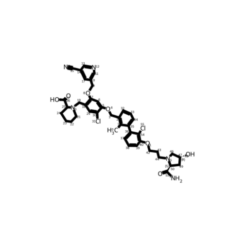 Cc1c(COc2cc(OCc3cncc(C#N)c3)c(CN3CCCCC3C(=O)O)cc2Cl)cccc1-c1cccc(OCCCN2C[C@H](O)C[C@H]2C(N)=O)c1Cl